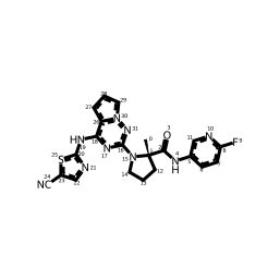 C[C@@]1(C(=O)Nc2ccc(F)nc2)CCCN1c1nc(Nc2ncc(C#N)s2)c2cccn2n1